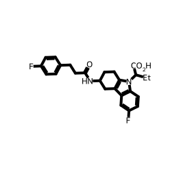 CCC(C(=O)O)n1c2c(c3cc(F)ccc31)CC(NC(=O)CCc1ccc(F)cc1)CC2